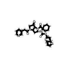 O=C(NC1(C(=O)N2CCC3C2C(=O)CN3C(=O)Cc2cccnc2)CCCCC1)Oc1cc2sccc2s1